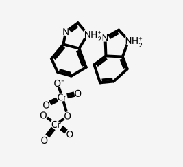 C1=Nc2ccccc2[NH2+]1.C1=Nc2ccccc2[NH2+]1.[O]=[Cr](=[O])([O-])[O][Cr](=[O])(=[O])[O-]